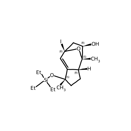 CC[Si](CC)(CC)O[C@@]1(C)CC[C@@H]2C1=C[C@]1(I)C[C@@H](O)[C@@]2(C)O1